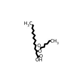 CCCCCCCCCCCC(CC(=O)O)OC(=O)CCCCC